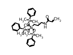 C=CC(=O)NCCC[Si](O[Si](C)(C)c1ccccc1)(O[Si](C)(C)c1ccccc1)O[Si](C)(C)c1ccccc1